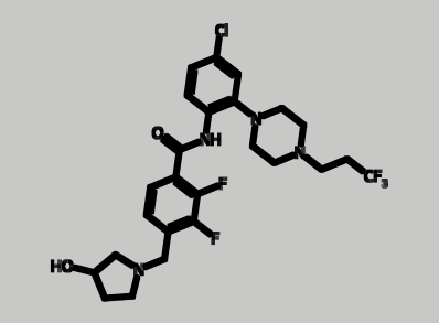 O=C(Nc1ccc(Cl)cc1N1CCN(CCC(F)(F)F)CC1)c1ccc(CN2CCC(O)C2)c(F)c1F